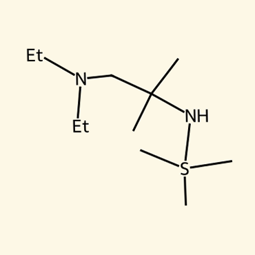 CCN(CC)CC(C)(C)NS(C)(C)C